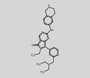 CCN(CC)Cc1cc(-n2c3nc(Nc4ccc5c(c4)CCNC5)ncc3c(=O)n2CC)ccn1